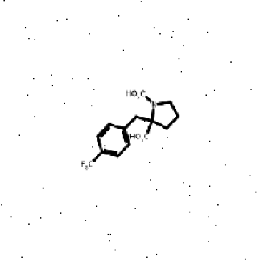 O=C(O)N1CCCC1(Cc1ccc(C(F)(F)F)cc1)C(=O)O